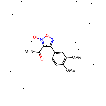 CNC(=O)c1c(-c2ccc(OC)c(OC)c2)no[n+]1[O-]